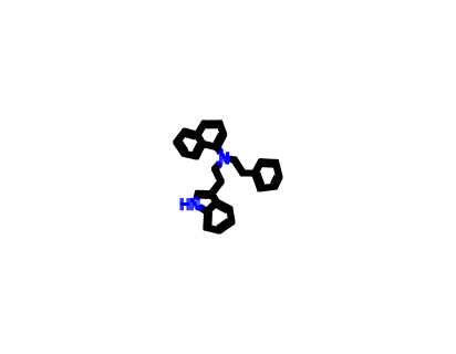 c1ccc(CCN(CCc2c[nH]c3ccccc23)c2cccc3ccccc23)cc1